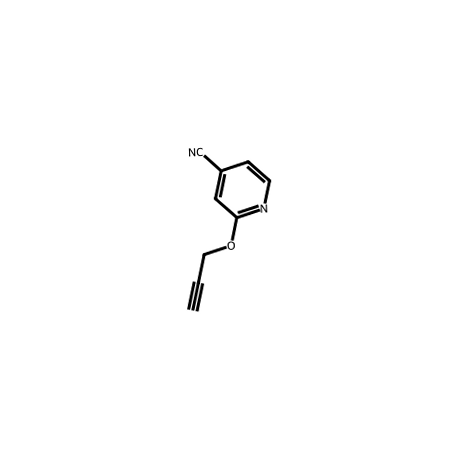 C#CCOc1cc(C#N)ccn1